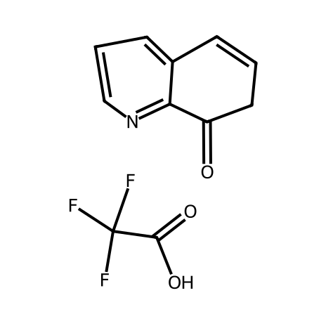 O=C(O)C(F)(F)F.O=C1CC=Cc2cccnc21